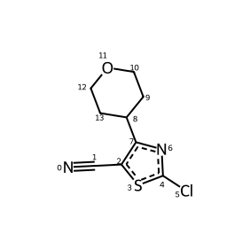 N#Cc1sc(Cl)nc1C1CCOCC1